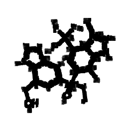 C[CH2][Mn](=[O])([c]1cc(CO)c2sccc2c1)[c]1cc(C(F)(F)F)c2c(nnn2C)c1C